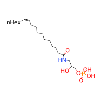 CCCCCC/C=C\CCCCCCCCCC(=O)NCC(O)COP(=O)(O)O